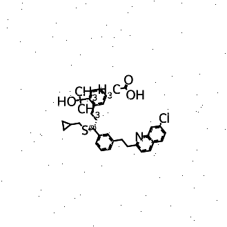 CC(=O)O.CC(C)(O)c1ccccc1CC[C@@H](SCC1CC1)c1cccc(CCc2ccc3ccc(Cl)cc3n2)c1